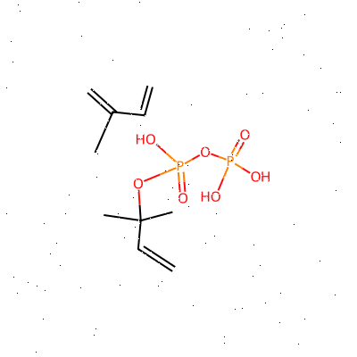 C=CC(=C)C.C=CC(C)(C)OP(=O)(O)OP(=O)(O)O